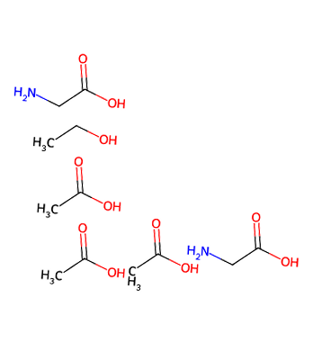 CC(=O)O.CC(=O)O.CC(=O)O.CCO.NCC(=O)O.NCC(=O)O